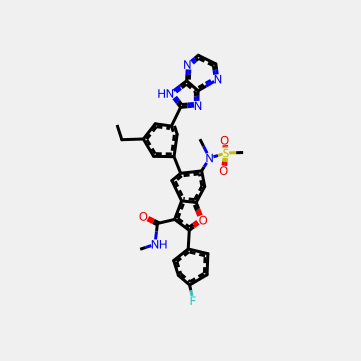 CCc1cc(-c2nc3nccnc3[nH]2)cc(-c2cc3c(C(=O)NC)c(-c4ccc(F)cc4)oc3cc2N(C)S(C)(=O)=O)c1